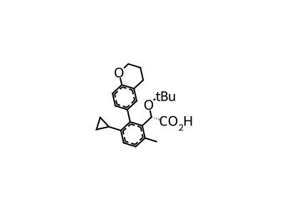 Cc1ccc(C2CC2)c(-c2ccc3c(c2)CCCO3)c1[C@H](OC(C)(C)C)C(=O)O